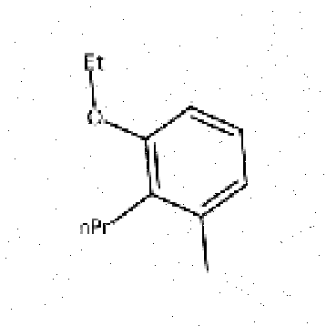 CCCc1c(OCC)[c]ccc1C